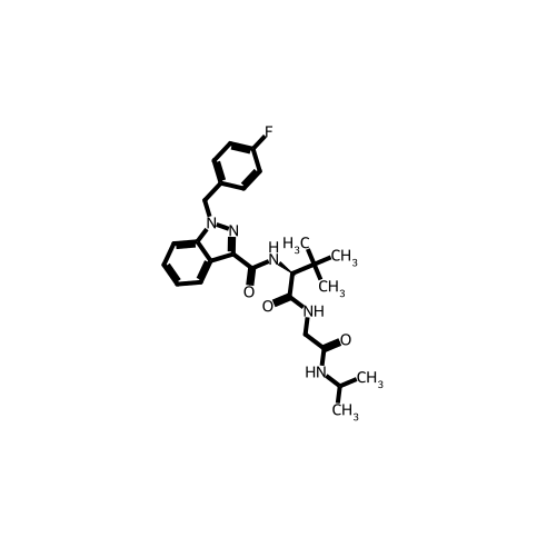 CC(C)NC(=O)CNC(=O)[C@@H](NC(=O)c1nn(Cc2ccc(F)cc2)c2ccccc12)C(C)(C)C